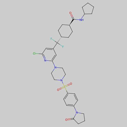 O=C1CCCN1c1ccc(S(=O)(=O)N2CCN(c3cc(C(F)(F)[C@H]4CC[C@H](C(=O)NC5CCCC5)CC4)cc(Cl)n3)CC2)cc1